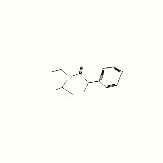 CCN(C(=O)C(Br)c1ccccc1)C(C)C